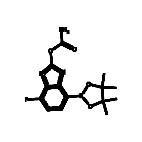 CC1(C)OB(c2ccc(F)c3sc(OC(N)=O)nc23)OC1(C)C